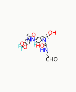 CC(C)(CO)c1cc2cc(NC(=O)C3(c4ccc5c(c4)OC(F)(F)O5)CC3)c(F)cc2n1C[C@@H](O)CNCCCC=O